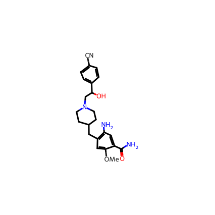 COc1cc(CC2CCN(CC(O)c3ccc(C#N)cc3)CC2)c(N)cc1C(N)=O